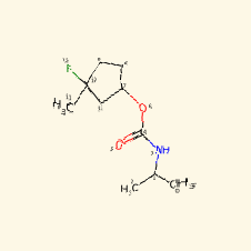 CC(C)NC(=O)OC1CCC(C)(F)C1